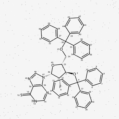 F[C@H]1[C@H](OC(c2ccccc2)(c2ccccc2)c2ccccc2)[C@@H](COC(c2ccccc2)(c2ccccc2)c2ccccc2)O[C@H]1n1cnc2c(=S)[nH]cnc21